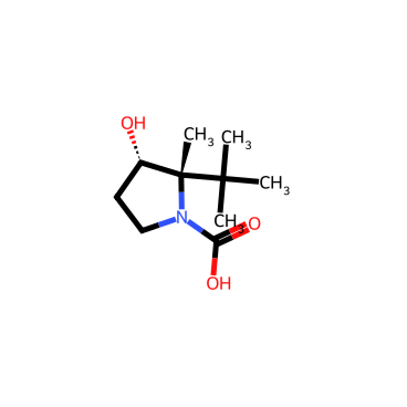 CC(C)(C)[C@@]1(C)[C@@H](O)CCN1C(=O)O